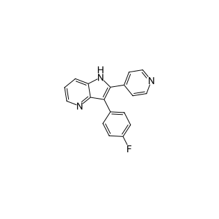 Fc1ccc(-c2c(-c3ccncc3)[nH]c3cccnc23)cc1